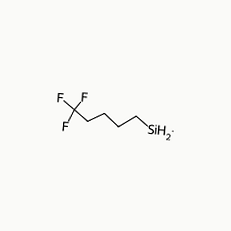 FC(F)(F)CCCC[SiH2]